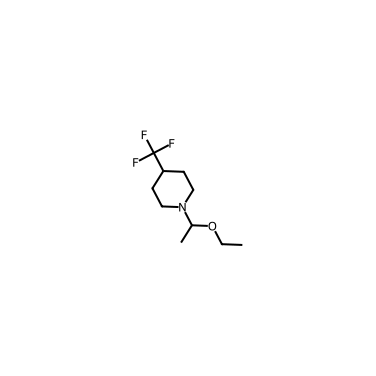 CCOC(C)N1CCC(C(F)(F)F)CC1